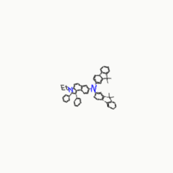 CCn1c(-c2ccccc2)c(-c2ccccc2)c2c3ccc(N(c4ccc5c(c4)C(C)(C)c4ccccc4-5)c4ccc5c(c4)C(C)(C)c4ccccc4-5)cc3ccc21